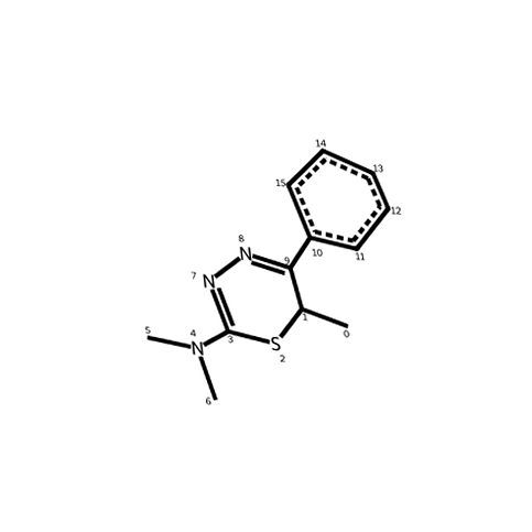 CC1SC(N(C)C)=NN=C1c1ccccc1